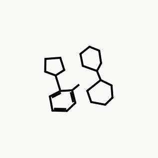 C1CCC(C2CCCCC2)CC1.Cc1ccccc1C1CCCC1